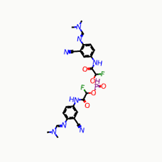 CN(C)C=Nc1ccc(NC(=O)C(F)O[PH](=O)OC(F)C(=O)Nc2ccc(N=CN(C)C)c(C#N)c2)cc1C#N